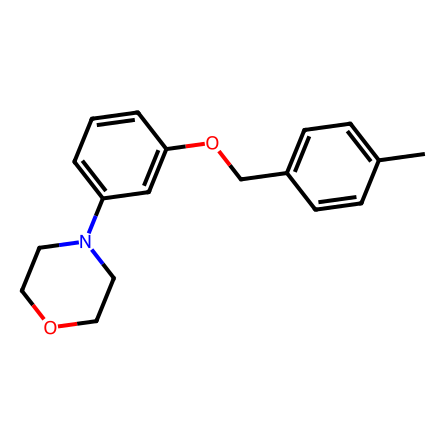 Cc1ccc(COc2cccc(N3CCOCC3)c2)cc1